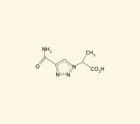 CC(C(=O)O)n1cc(C(N)=O)nn1